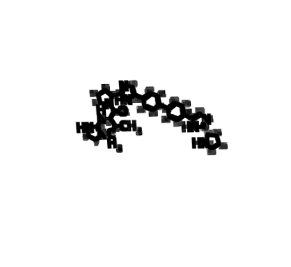 CC(C)[C@H](NC1=NCCN1)C(=O)N1CCC[C@H]1c1ncc(-c2ccc(-c3ccc(-c4cnc([C@@H]5CCCN5)[nH]4)cc3)cc2)[nH]1